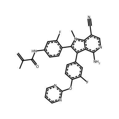 C=C(C)C(=O)Nc1ccc(-c2c(-c3ccc(Oc4ncccn4)c(F)c3)c3c(N)ncc(C#N)c3n2C)c(F)c1